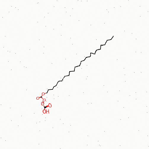 CCCCCCCCCCCCCCCCCCCCCCCCCCOC(=O)OOC(=O)O